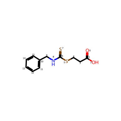 O=C(O)CCSC(=S)NCc1ccccc1